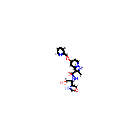 Cc1nn2ccc(OCc3ccccn3)cc2c1C(=O)NC(CO)C1COCN1